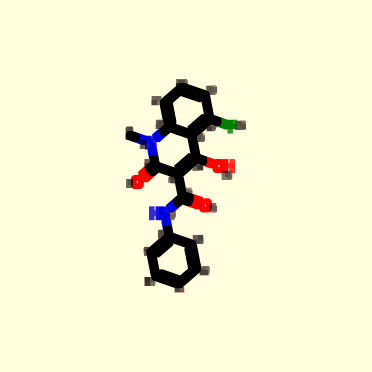 Cn1c(=O)c(C(=O)Nc2ccccc2)c(O)c2c(F)cccc21